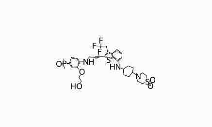 CP(C)(=O)c1ccc(NCC#Cc2sc3c(NC4CCC(N5CCS(=O)(=O)CC5)CC4)cccc3c2CC(F)(F)F)c(OCCO)c1